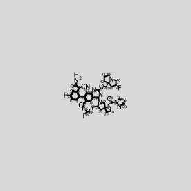 N#Cc1c(N)sc2c(F)ccc(-c3c(Cl)cc4c(N5CC6(CCN6C(=O)n6cncn6)CC5COC(F)F)nc(OC[C@@]56CCCN5C[C@H](F)C6)nc4c3F)c12